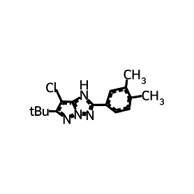 Cc1ccc(-c2nn3nc(C(C)(C)C)c(Cl)c3[nH]2)cc1C